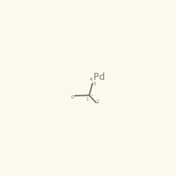 C[C](C)C.[Pd]